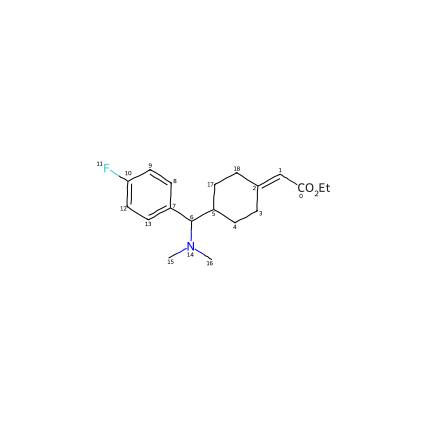 CCOC(=O)C=C1CCC(C(c2ccc(F)cc2)N(C)C)CC1